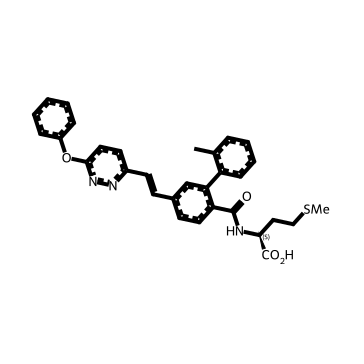 CSCC[C@H](NC(=O)c1ccc(C=Cc2ccc(Oc3ccccc3)nn2)cc1-c1ccccc1C)C(=O)O